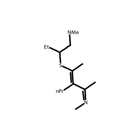 CCCC(/C(C)=N\C)=C(/C)SC(CC)CNC